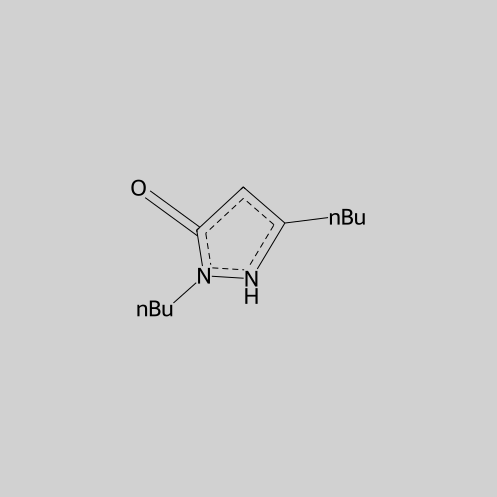 CCCCc1cc(=O)n(CCCC)[nH]1